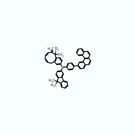 C=C1/C=C\C=C/Cc2cc(N(c3ccc(-c4ccc5ccc6ccc7ccccc7c6c5c4)cc3)c3ccc4c(c3)-c3ccccc3C4(C)C)ccc2C1(C)C